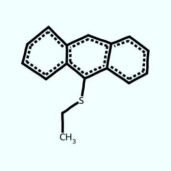 CCSc1c2ccccc2cc2ccccc12